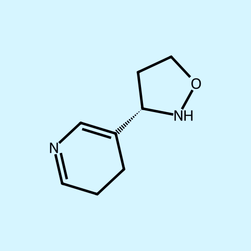 C1=NC=C([C@@H]2CCON2)CC1